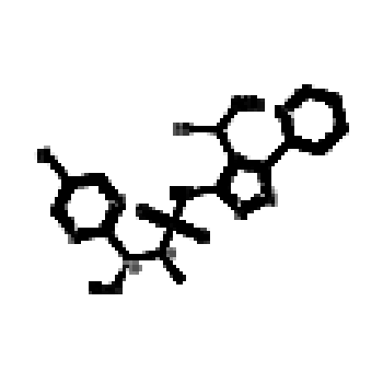 CCC(OC)n1c(NS(=O)(=O)[C@@H](C)[C@H](OC)c2ncc(Cl)cn2)nnc1-c1ccccn1